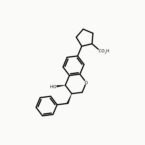 O=C(O)C1CCCC1c1ccc2c(c1)OC[C@@H](Cc1ccccc1)[C@H]2O